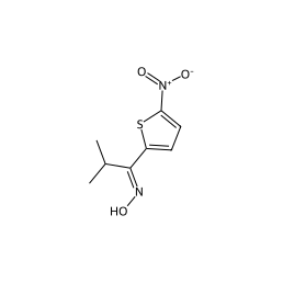 CC(C)C(=NO)c1ccc([N+](=O)[O-])s1